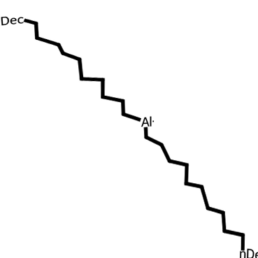 CCCCCCCCCCCCCCCCCCC[CH2][Al][CH2]CCCCCCCCCCCCCCCCCCC